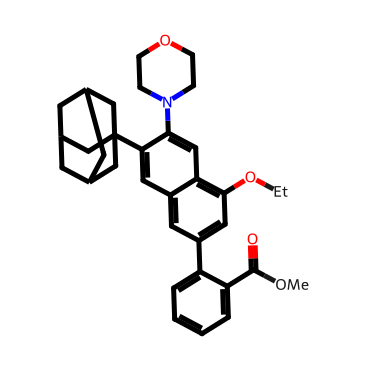 CCOc1cc(-c2ccccc2C(=O)OC)cc2cc(C34CC5CC(CC(C5)C3)C4)c(N3CCOCC3)cc12